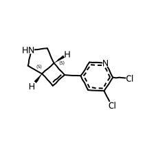 Clc1cc(C2=C[C@@H]3CNC[C@H]23)cnc1Cl